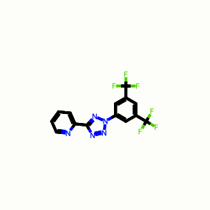 FC(F)(F)c1cc(-n2nnc(-c3ccccn3)n2)cc(C(F)(F)F)c1